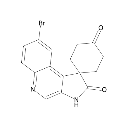 O=C1CCC2(CC1)C(=O)Nc1cnc3ccc(Br)cc3c12